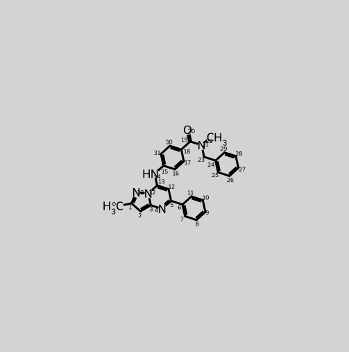 Cc1cc2nc(-c3ccccc3)cc(Nc3ccc(C(=O)N(C)Cc4ccccc4)cc3)n2n1